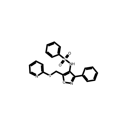 O=S(=O)(Nc1c(-c2ccccc2)noc1CSc1ccccn1)c1ccccc1